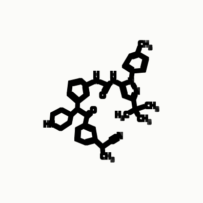 Cc1ccc(-n2nc(C(C)(C)C)cc2NC(=O)Nc2cccc(C(C(=O)c3cccc(C(C)C#N)c3)C3CCNCC3)c2)cc1